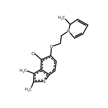 Cc1sc2ccc(OCCN3C=CC=CC3C)c(Cl)c2c1C